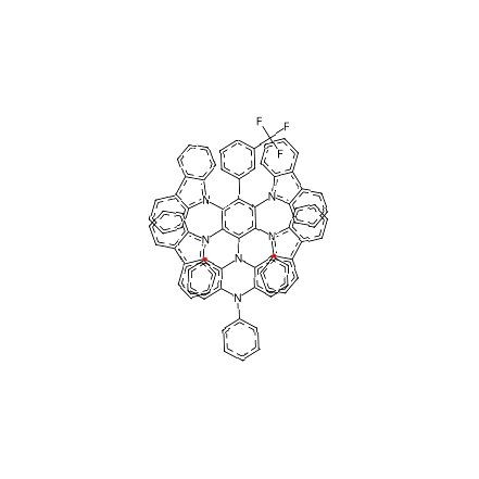 FC(F)(F)c1cccc(-c2c(-n3c4ccccc4c4ccccc43)c(-n3c4ccccc4c4ccccc43)c(N3c4ccccc4N(c4ccccc4)c4ccccc43)c(-n3c4ccccc4c4ccccc43)c2-n2c3ccccc3c3ccccc32)c1